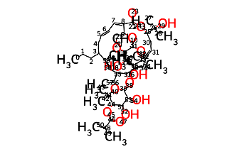 CCCC1C/C=C/C=C(\COC2OC(C)C(O)C(O)C2OC)C(=O)OC(C(C)(C)O)C/C=C(C)/C=C(\C)C(OC2OC(C)(C)C(OC(=O)C(C)C)C(O)C2O)C(CC)/C=C/1C